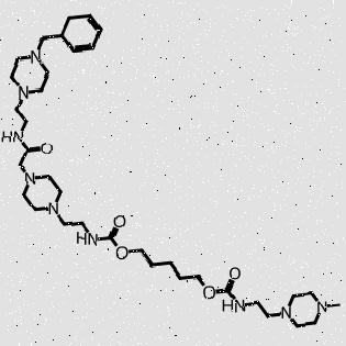 CN1CCN(CCNC(=O)OCCCCCOC(=O)NCCN2CCN(CC(=O)NCCN3CCN(CC4C=CC=CC4)CC3)CC2)CC1